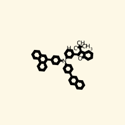 CC(C)(C)c1c(-c2cccc(N(c3ccc(-c4ccc5ccccc5c4)cc3)c3ccc(-c4cc5ccccc5c5ccccc45)cc3)c2)oc2ccccc12